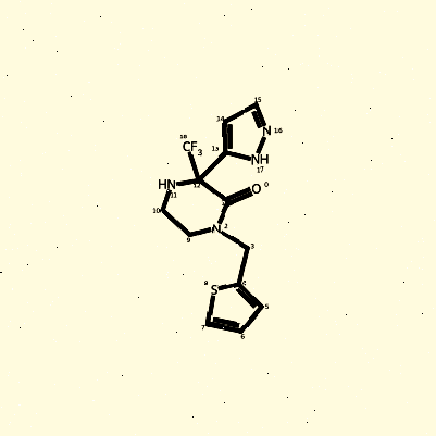 O=C1N(Cc2cccs2)CCNC1(c1ccn[nH]1)C(F)(F)F